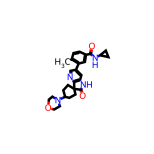 Cc1ccc(C(=O)NC2CC2)cc1-c1cnc2c(c1)NC(=O)C21CCC(N2CCOCC2)CC1